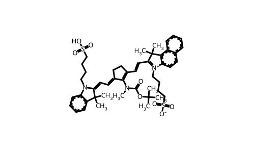 CN(C(=O)OC(C)(C)C)C1=C(/C=C/C2=[N+](CCCCS(=O)(=O)[O-])c3ccc4ccccc4c3C2(C)C)CC/C1=C\C=C1\N(CCCCS(=O)(=O)O)c2ccccc2C1(C)C